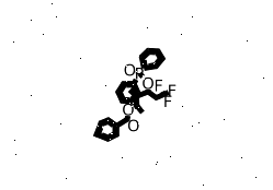 CC(OC(=O)c1ccccc1)C(C)C(CC(F)(F)F)OP(=O)(c1ccccc1)c1ccccc1